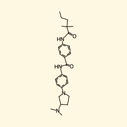 CCCC(C)(C)C(=O)Nc1ccc(C(=O)Nc2ccc(N3CCC(N(C)C)C3)cc2)cc1